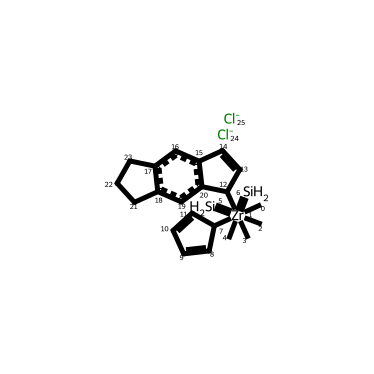 [CH3][Zr]([CH3])([CH3])([CH3])(=[SiH2])(=[SiH2])([CH]1C=CC=C1)[CH]1C=Cc2cc3c(cc21)CCC3.[Cl-].[Cl-]